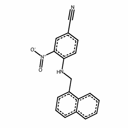 N#Cc1ccc(NCc2cccc3ccccc23)c([N+](=O)[O-])c1